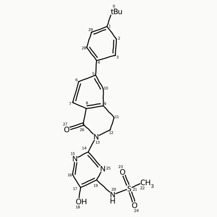 CC(C)(C)c1ccc(-c2ccc3c(c2)CCN(c2ncc(O)c(NS(C)(=O)=O)n2)C3=O)cc1